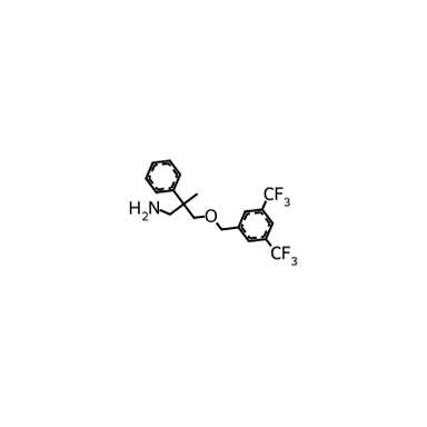 CC(CN)(COCc1cc(C(F)(F)F)cc(C(F)(F)F)c1)c1ccccc1